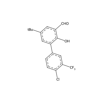 CC(C)(C)c1cc(C=O)c(O)c(-c2ccc(Cl)c(C(F)(F)F)c2)c1